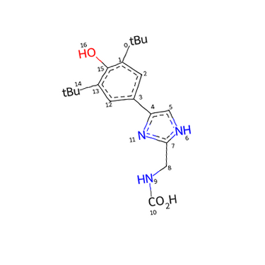 CC(C)(C)c1cc(-c2c[nH]c(CNC(=O)O)n2)cc(C(C)(C)C)c1O